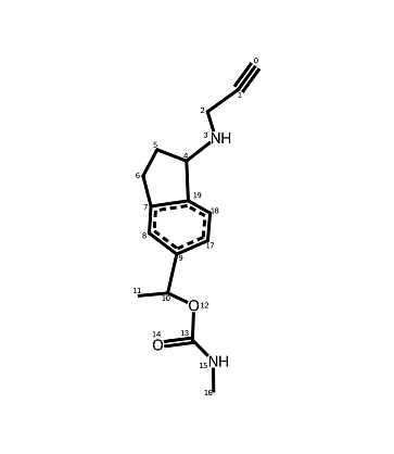 C#CCNC1CCc2cc(C(C)OC(=O)NC)ccc21